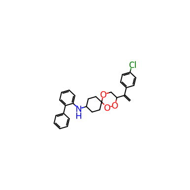 C=C(c1ccc(Cl)cc1)C1COC2(CCC(Nc3ccccc3-c3ccccc3)CC2)OO1